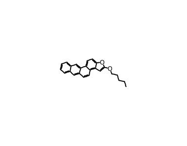 CCCCCOc1cc2c(ccc3c4cc5ccccc5cc4ccc23)o1